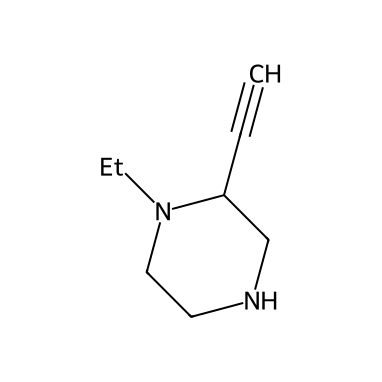 C#CC1CNCCN1CC